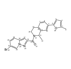 Cc1ccc(-c2ccc3c(c2)C(C)N(C(=O)c2cc4ccc(Br)cn4n2)CC3)o1